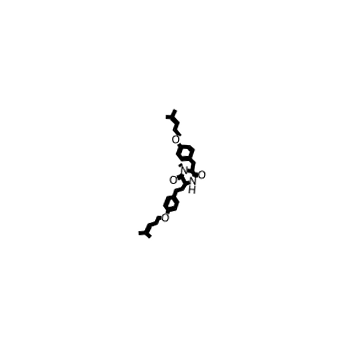 CC(C)=CCCOc1ccc(CCC2NC(=O)C(Cc3ccc(OCCC=C(C)C)cc3)N(C)C2=O)cc1